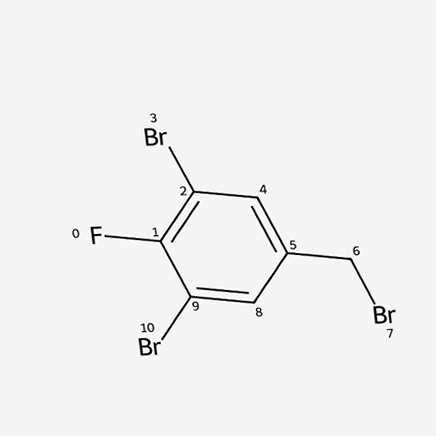 Fc1c(Br)cc(CBr)cc1Br